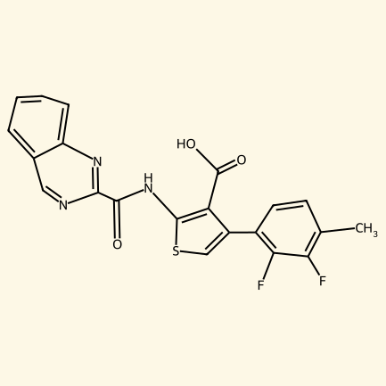 Cc1ccc(-c2csc(NC(=O)c3ncc4ccccc4n3)c2C(=O)O)c(F)c1F